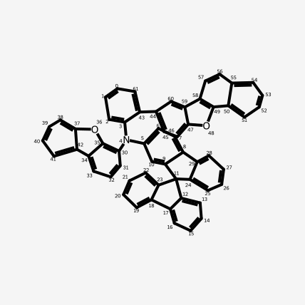 c1ccc(N(c2ccc3c(c2)C2(c4ccccc4-c4ccccc42)c2ccccc2-3)c2cccc3c2oc2ccccc23)c(-c2ccc3oc4c5ccccc5ccc4c3c2)c1